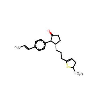 CCCCC=Cc1ccc(C2C(=O)CC[C@@H]2CCCC2=CCC(C(=O)O)S2)cc1